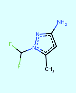 Cc1cc(N)nn1C(F)F